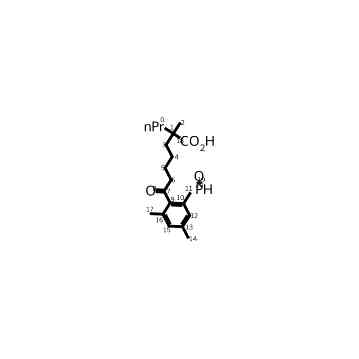 CCCC(C)(CCCCC(=O)c1c(C)cc(C)cc1C)C(=O)O.O=P